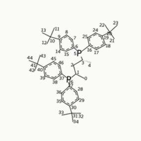 CC(C[C@@H](C)P(c1ccc(C(C)(C)C)cc1)c1ccc(C(C)(C)C)cc1)P(c1ccc(C(C)(C)C)cc1)c1ccc(C(C)(C)C)cc1